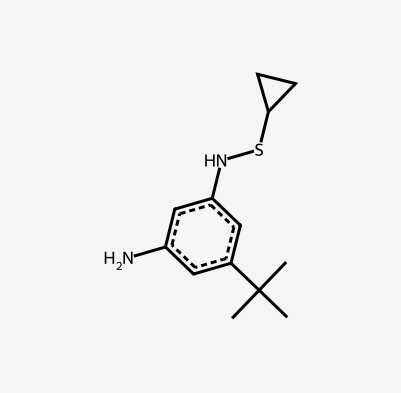 CC(C)(C)c1cc(N)cc(NSC2CC2)c1